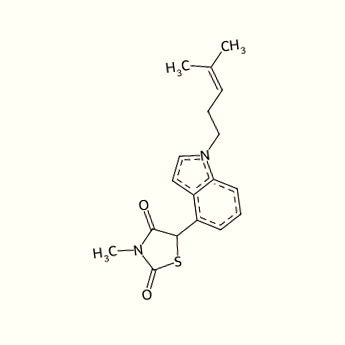 CC(C)=CCCn1ccc2c(C3SC(=O)N(C)C3=O)cccc21